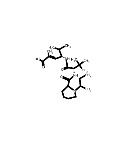 CCC(C)N1CCCCC1C(=O)N[C@H](C(=O)N[C@H](/C=C(\C)C(=O)O)C(C)C)C(C)(C)C